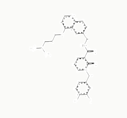 CN(C)CCCOc1ccnc2ccc(CNC(=O)c3cccn(Cc4ccc(F)c(F)c4)c3=O)cc12